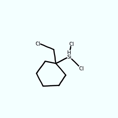 ClCC1([SiH](Cl)Cl)CCCCC1